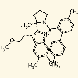 COCCn1c(C2(C)CCCN2C(=O)c2cc(C)ccc2-c2ccc(C)cc2)nc2cc(C)c(C)cc21